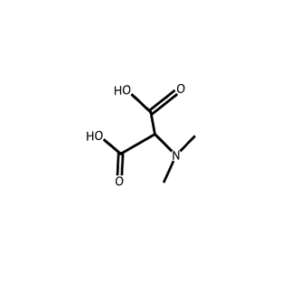 CN(C)C(C(=O)O)C(=O)O